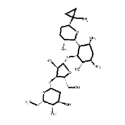 NC[C@@H]1O[C@H](O[C@H]2[C@@H](O)[C@H](O[C@H]3C([C@H]4O[C@H](C5(N)CC5)CC[C@H]4N)[C@@H](N)C[C@@H](N)[C@@H]3O)O[C@@H]2CO)C[C@@H](O)[C@@H]1O